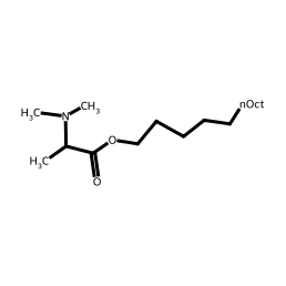 CCCCCCCCCCCCCOC(=O)C(C)N(C)C